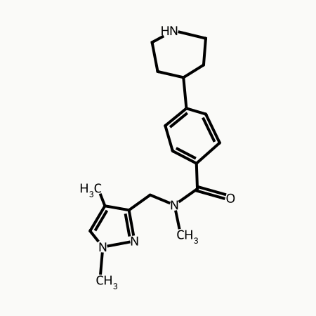 Cc1cn(C)nc1CN(C)C(=O)c1ccc(C2CCNCC2)cc1